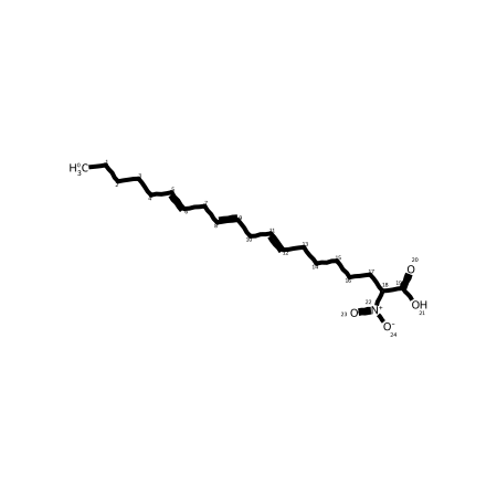 CCCCC/C=C/C/C=C/C/C=C/CCCCCC(C(=O)O)[N+](=O)[O-]